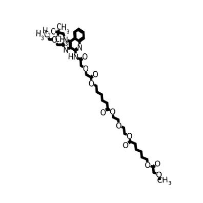 CCOCc1nc2c(NC(=O)COCC(=O)OCCCCCC(=O)OCCOCCOC(=O)CCCCCOC(=O)COC)nc3ccccc3c2n1CC(C)(C)C